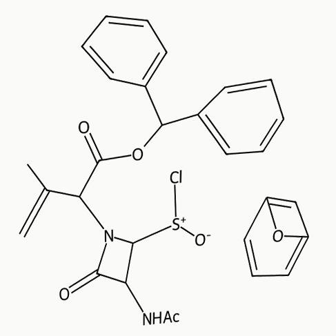 C=C(C)C(C(=O)OC(c1ccccc1)c1ccccc1)N1C(=O)C(NC(C)=O)C1[S+]([O-])Cl.c1cc2cc(c1)O2